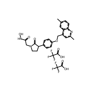 Cc1ccc2nc(C)cc(COc3ccc(C4CCN(CC(=O)NO)C4=O)cc3)c2c1.O=C(O)C(F)(F)F.O=C(O)C(F)(F)F